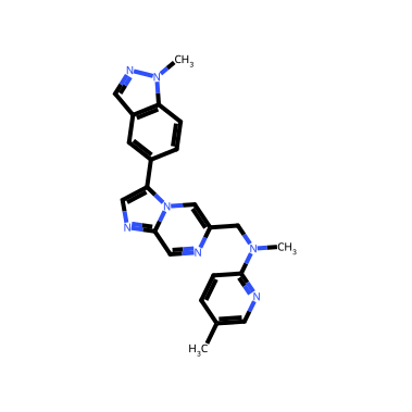 Cc1ccc(N(C)Cc2cn3c(-c4ccc5c(cnn5C)c4)cnc3cn2)nc1